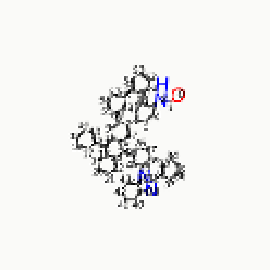 O=CNc1ccc(-c2ccc3c(-c4ccccc4)c4ccccc4c(-c4cccc(-n5c(-c6ccccc6)nc6ccccc65)c4)c3c2)cc1-c1ccccc1-c1ccccc1